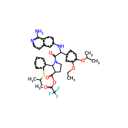 CCOc1cc(C(Nc2ccc3c(N)nccc3c2)C(=O)N2CCC(C(=O)OC(=O)C(F)(F)F)C2c2ccccc2SC(C)C)ccc1OC(C)C